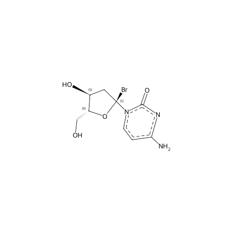 Nc1ccn([C@@]2(Br)C[C@H](O)[C@@H](CO)O2)c(=O)n1